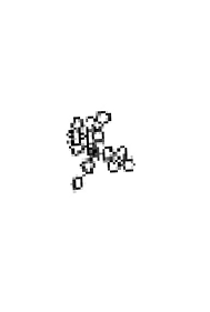 c1ccc(-c2ccc(N3B4c5cccc6c5N(c5ccccc5S6)c5c4c(cc4c5oc5ccccc54)-c4cc5c(cc43)Oc3ccccc3O5)cc2)cc1